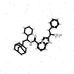 O=C(NC(CC12CC3CC(CC(C3)C1)C2)C1CCCCC1)c1cccc2nc(C(Cc3ccccc3)C(=O)O)cn12